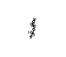 O=C(Cc1ccsc1)NCc1ccc(-c2nc(C(=O)N3CCC(F)(F)CC3)co2)cc1